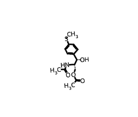 CSc1ccc([C@H](O)[C@H](COC(C)=O)NC(C)=O)cc1